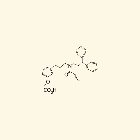 CC=CC(=O)N(CCCc1cccc(OCC(=O)O)c1)CCC(c1ccccc1)c1ccccc1